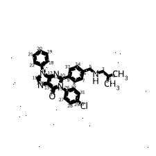 CC(C)CNCc1ccc(-c2nc3c(ncn3-c3ccccc3)c(=O)n2-c2ccc(Cl)cc2)cc1